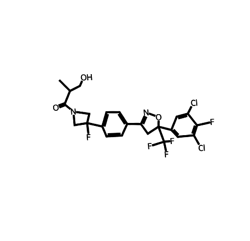 CC(CO)C(=O)N1CC(F)(c2ccc(C3=NOC(c4cc(Cl)c(F)c(Cl)c4)(C(F)(F)F)C3)cc2)C1